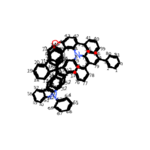 c1ccc(-c2ccc(N(c3ccc4c(c3)C3(c5ccccc5-c5ccccc53)c3ccccc3-4)c3c(-c4ccccc4)ccc4oc5ccc(-c6ccc7c(c6)c6ccccc6n7-c6ccccc6)cc5c34)c(-c3ccccc3)c2)cc1